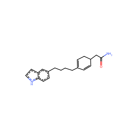 NC(=O)CC1C=CC(CCCCc2ccc3[nH]ccc3c2)=CC1